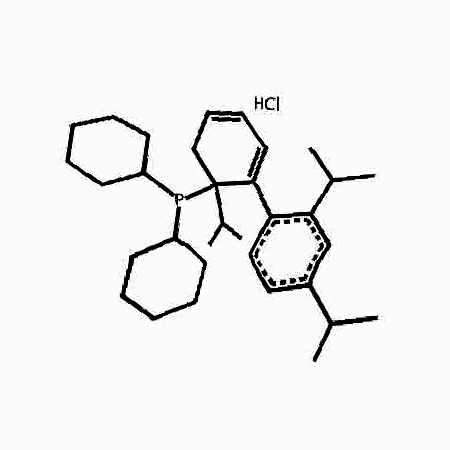 CC(C)c1ccc(C2=CC=CCC2(C(C)C)P(C2CCCCC2)C2CCCCC2)c(C(C)C)c1.Cl